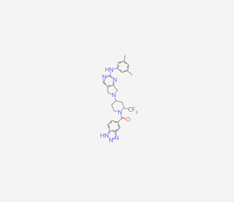 Cc1cc(C)cc(Nc2ncc3c(n2)CN(C2CCN(C(=O)c4ccc5[nH]nnc5c4)C(C(F)(F)F)C2)C3)c1